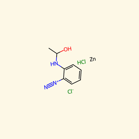 CC(O)Nc1ccccc1[N+]#N.Cl.[Cl-].[Zn]